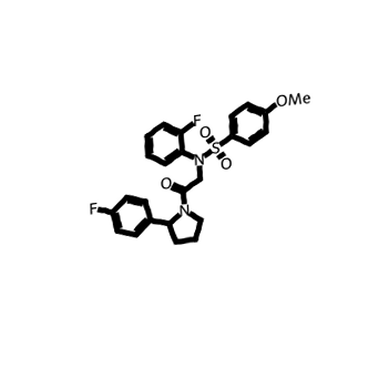 COc1ccc(S(=O)(=O)N(CC(=O)N2CCCC2c2ccc(F)cc2)c2ccccc2F)cc1